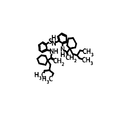 C=C(Nc1ccccc1NSc1ccccc1NC(=C)C1(CC(CC)CC)CCCCC1)C1(CC(CC)CC)CCCCC1